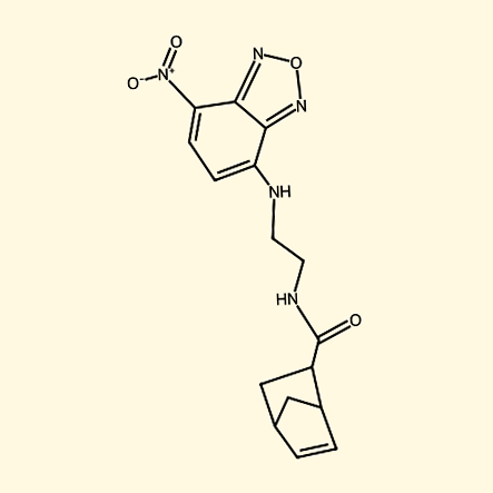 O=C(NCCNc1ccc([N+](=O)[O-])c2nonc12)C1CC2C=CC1C2